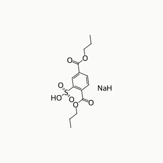 CCCOC(=O)c1ccc(C(=O)OCCC)c(S(=O)(=O)O)c1.[NaH]